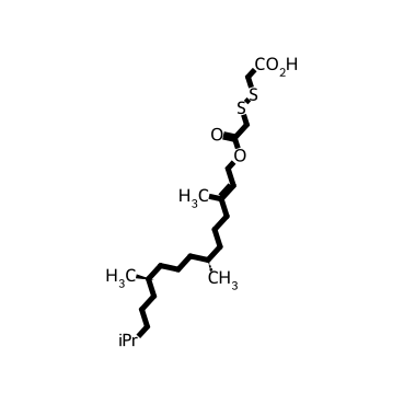 C/C(=C\COC(=O)CSSCC(=O)O)CCC[C@H](C)CCC[C@H](C)CCCC(C)C